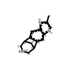 Cc1cnc2cc3c(cc2n1)C1CNCC3C1